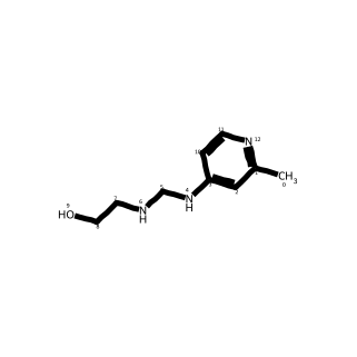 Cc1cc(NCNCCO)ccn1